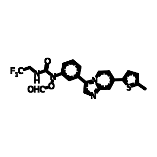 Cc1ccc(-c2ccn3c(-c4cccc(N(OC=O)C(=O)NCC(F)(F)F)c4)cnc3c2)s1